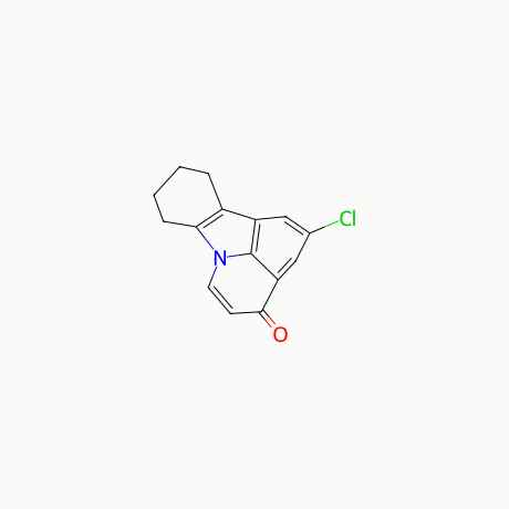 O=c1ccn2c3c(c4cc(Cl)cc1c42)CCCC3